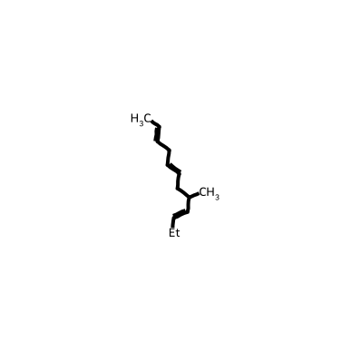 CC=CCC=CCC(C)C=CCC